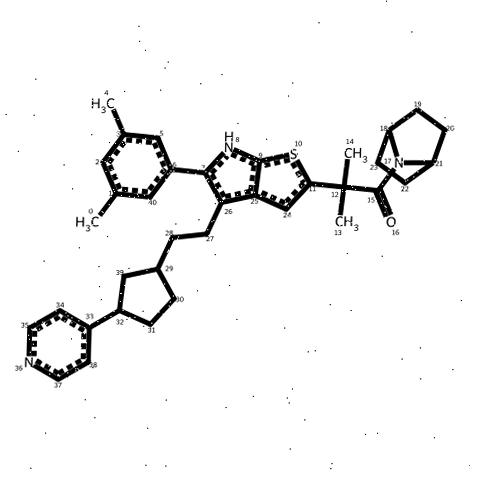 Cc1cc(C)cc(-c2[nH]c3sc(C(C)(C)C(=O)N4C5CCC4CC5)cc3c2CCC2CCC(c3ccncc3)C2)c1